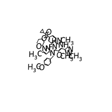 CNC1(c2ccc(S(=O)(=O)C3CC3)cc2F)N=C(N(Cc2ccc(OC)cc2)c2cc(C)n(C3CCCCO3)n2)C(OC)=C(c2cnn(C)c2)N1